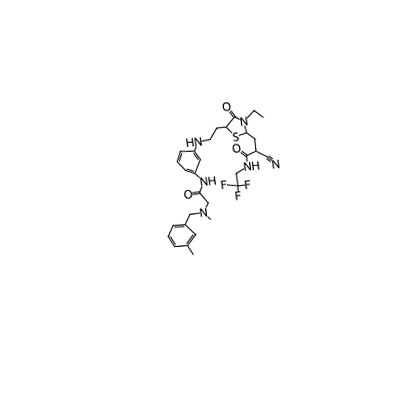 CCN1C(=O)C(CCNc2cccc(NC(=O)CN(C)Cc3cccc(C)c3)c2)SC1CC(C#N)C(=O)NCC(F)(F)F